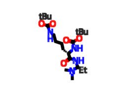 CCC(NC(=O)[C@H](CCCCNC(=O)OC(C)(C)C)NC(=O)OC(C)(C)C)N(C)C